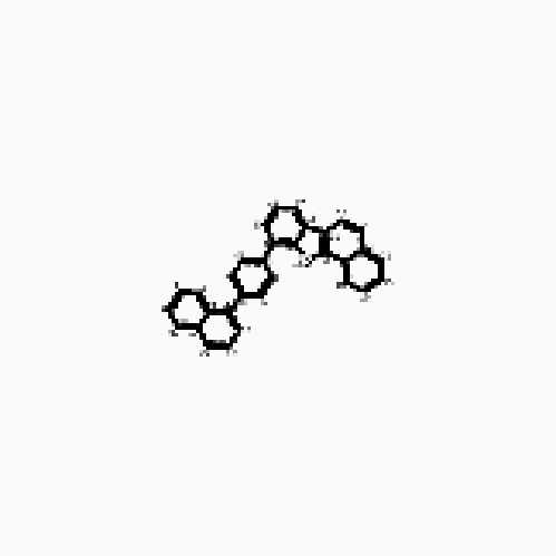 c1ccc2c(-c3ccc(-c4cccc5c4sc4c6ccccc6ccc54)cc3)cccc2c1